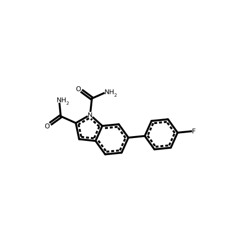 NC(=O)c1cc2ccc(-c3ccc(F)cc3)cc2n1C(N)=O